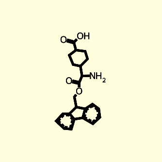 NC(C(=O)OCC1c2ccccc2-c2ccccc21)C1CCC(C(=O)O)CC1